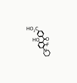 O=C(O)c1ccc(C(=O)c2c(O)ccc(N3CCCCC3)c2F)cc1